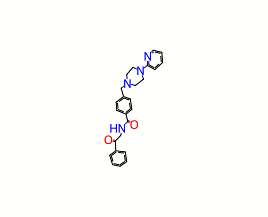 O=C(CNC(=O)c1ccc(CN2CCN(c3ccccn3)CC2)cc1)c1ccccc1